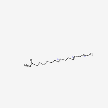 CC/C=C/C/C=C/CC/C=C/CCCCCCC(=O)OC